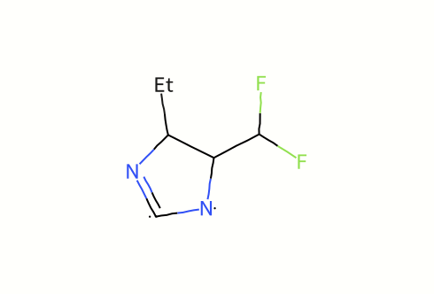 CCC1N=[C][N]C1C(F)F